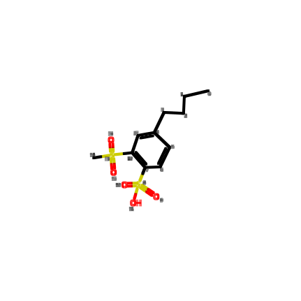 CCCCc1ccc(S(=O)(=O)O)c(S(C)(=O)=O)c1